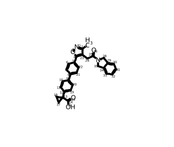 Cc1noc(-c2ccc(-c3ccc(C4(C(=O)O)CC4)cc3)cc2)c1CC(=O)N1Cc2ccccc2C1